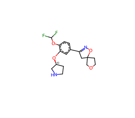 FC(F)Oc1ccc(C2=NOC3(CCOC3)C2)cc1O[C@H]1CCNC1